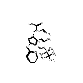 C=CC[C@H](O[C@H]1C[C@@H](OC2CCCCO2)[C@H](CO[Si](C)(C)C(C)(C)C)[C@H]1C=CC)C(=O)O